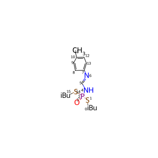 CCC(C)SP(=O)(NC=Nc1ccc(C)cc1)SC(C)CC